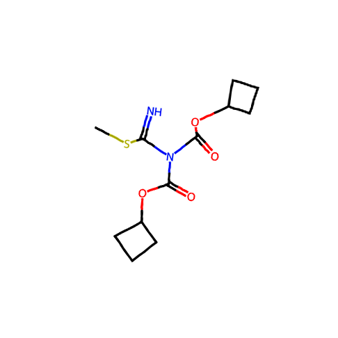 CSC(=N)N(C(=O)OC1CCC1)C(=O)OC1CCC1